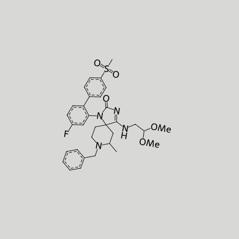 COC(CNC1=NC(=O)N(c2cc(F)ccc2-c2ccc(S(C)(=O)=O)cc2)C12CCN(Cc1ccccc1)C(C)C2)OC